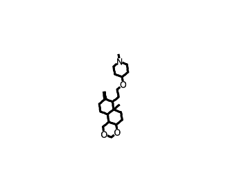 C=C1CCC2C3COCOC3CCC2(C)C1CCOC1CCN(C)CC1